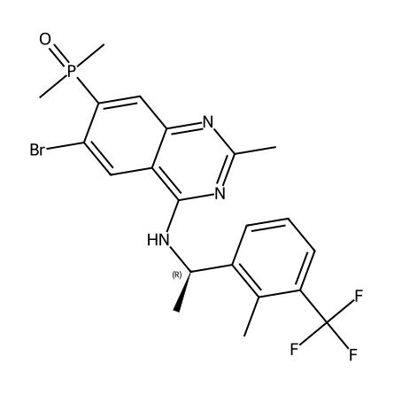 Cc1nc(N[C@H](C)c2cccc(C(F)(F)F)c2C)c2cc(Br)c(P(C)(C)=O)cc2n1